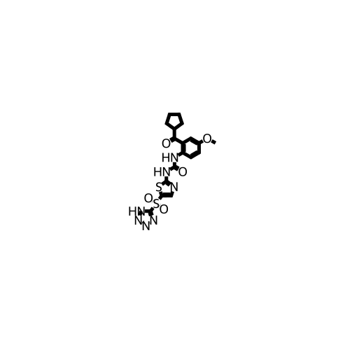 COc1ccc(NC(=O)Nc2ncc(S(=O)(=O)c3nnn[nH]3)s2)c(C(=O)C2CCCC2)c1